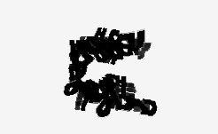 CN(C)Cc1c(OC(=O)N2CCC(N3CCCCC3)CC2)ccc2[nH]c(C(=O)c3cc4cc(NC(O)Nc5cc(C(C)(C)C)on5)ccc4o3)cc12